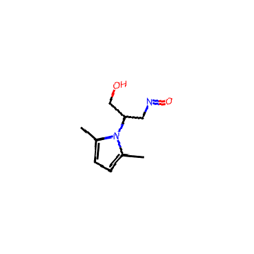 Cc1ccc(C)n1C(CO)CN=O